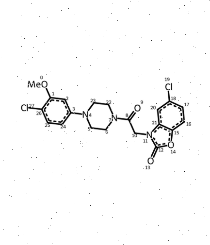 COc1cc(N2CCN(C(=O)Cn3c(=O)oc4ccc(Cl)cc43)CC2)ccc1Cl